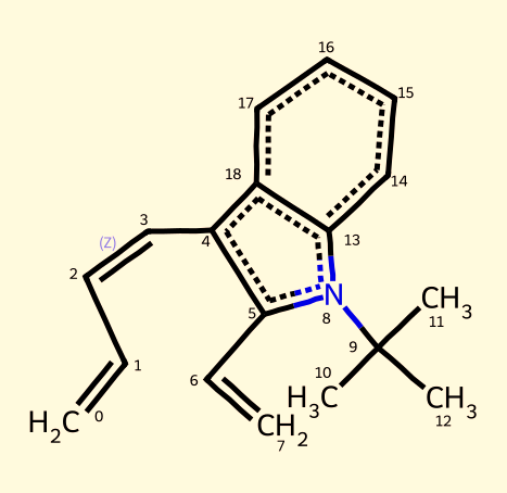 C=C/C=C\c1c(C=C)n(C(C)(C)C)c2ccccc12